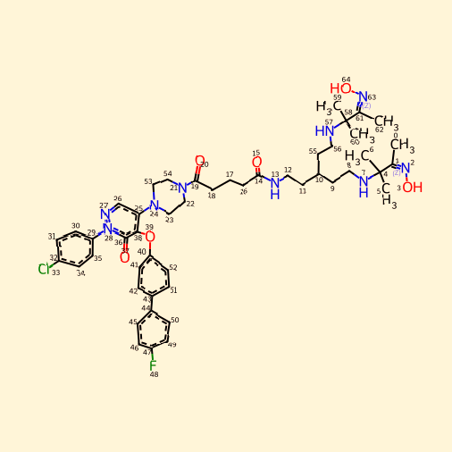 C/C(=N/O)C(C)(C)NCCC(CCNC(=O)CCCC(=O)N1CCN(c2cnn(-c3ccc(Cl)cc3)c(=O)c2Oc2ccc(-c3ccc(F)cc3)cc2)CC1)CCNC(C)(C)/C(C)=N\O